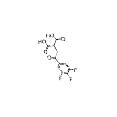 O=C(CC(C(=O)O)C(=O)O)c1cc(F)c(F)c(F)c1